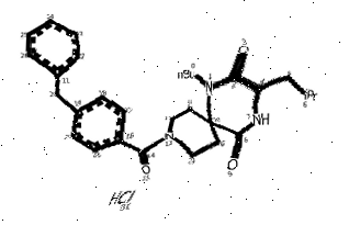 CCCCN1C(=O)C(CC(C)C)NC(=O)C12CCN(C(=O)c1ccc(Cc3ccccc3)cc1)CC2.Cl